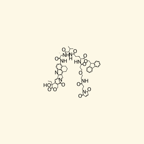 CC[C@@]1(O)C(=O)OCc2c1cc1n(c2=O)Cc2c-1nc1ccc(NC(=O)[C@H](C)NC(=O)[C@@H](NC(=O)CC[C@H](NC(=O)CCOCCNC(=O)CCN3C(=O)C=CC3=O)C(=O)OCC3c4ccccc4-c4ccccc43)C(C)C)c3c1c2CCC3